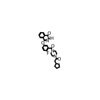 O=C(CC1CCCC1)N1CCN(C(=O)c2cc(Oc3n[nH]c(=O)c4ccccc34)ccc2F)CC1